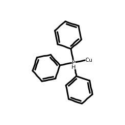 [Cu][PH](c1ccccc1)(c1ccccc1)c1ccccc1